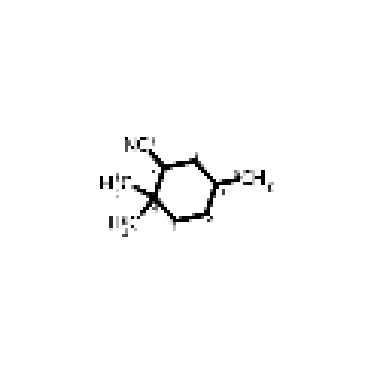 CC1CCC(C)(C)C(C#N)C1